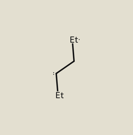 C[CH]C[C]CC